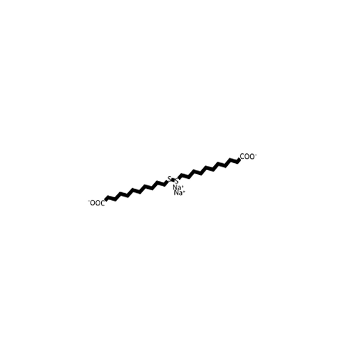 O=C([O-])CCCCCCCCCCSSCCCCCCCCCCC(=O)[O-].[Na+].[Na+]